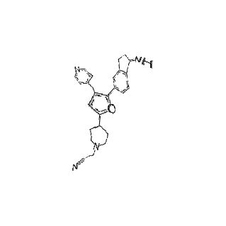 N#CCN1CCC(c2cc(-c3ccncc3)c(-c3ccc4c(c3)CCC4=N)o2)CC1